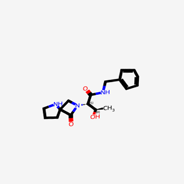 C[C@@H](O)[C@@H](C(=O)NCc1ccccc1)N1CC2(CCCN2)C1=O